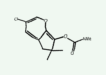 CNC(=O)OC1=C2OC=C(Cl)C=C2CC1(C)C